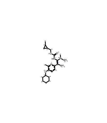 Cc1nc(/C(N)=C(\NC(=O)OCC2CC2C)N(C)N)ccc1OC1CCCCC1